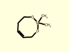 C[Si]1(C)OC/C=C\CCO1